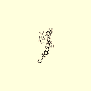 Cc1cc(C(F)(F)F)nc(N2Cc3sc(NC(=O)Cc4ccc(S(=O)(=O)CCC5CCCC5)cc4)nc3[C@@H]2C(C)C)n1